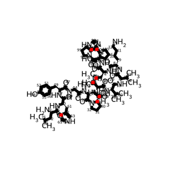 CC(C)C[C@H](NC(=O)[C@H](CCCCN)NC(=O)[C@@H](NC(=O)[C@@H](NC(=O)[C@@H](NC(=O)[C@@H]1CCCN1C(=O)[C@H](CC(C)C)NC(=O)CNC(=O)[C@H](Cc1ccc(O)cc1)NC(=O)[C@H](Cc1c[nH]cn1)NC(=O)[C@@H](N)CC(C)C)C(C)C)C(C)C)C(C)C)C(=O)N[C@@H](Cc1c[nH]cn1)C(=O)N1CCC[C@H]1C(=O)N1CCC[C@H]1C(=O)O